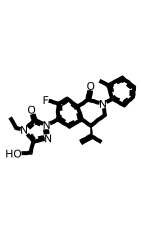 C=C(C)[C@@H]1CN(c2ccccc2C)C(=O)c2cc(F)c(-n3nc(CO)n(CC)c3=O)cc21